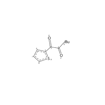 CCC(C)C(=O)C(=O)c1cccs1